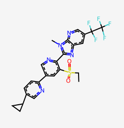 CCS(=O)(=O)c1cc(-c2ccc(C3CC3)cn2)cnc1-c1nc2cc(C(F)(F)C(F)(F)F)cnc2n1C